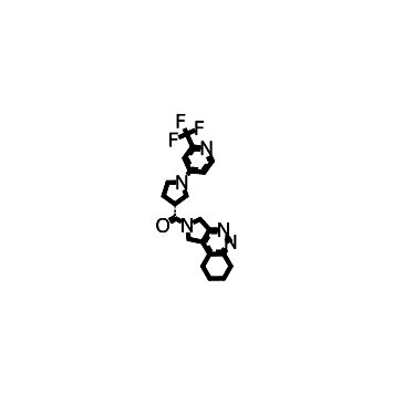 O=C([C@@H]1CCN(c2ccnc(C(F)(F)F)c2)C1)N1Cc2nnc3c(c2C1)CCCC3